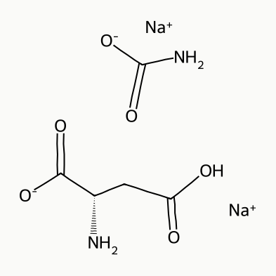 NC(=O)[O-].N[C@@H](CC(=O)O)C(=O)[O-].[Na+].[Na+]